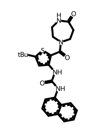 CC(C)(C)c1cc(NC(=O)Nc2cccc3ccccc23)c(C(=O)N2CCNC(=O)CC2)s1